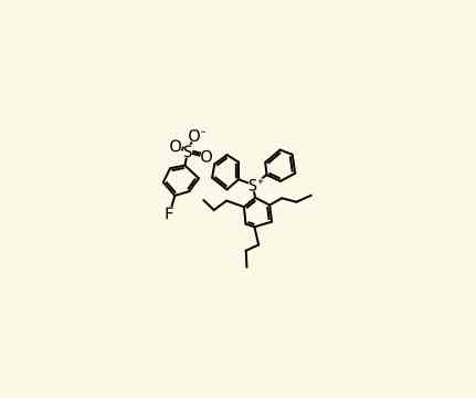 CCCc1cc(CCC)c([S+](c2ccccc2)c2ccccc2)c(CCC)c1.O=S(=O)([O-])c1ccc(F)cc1